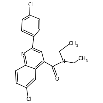 CCN(CC)C(=O)c1cc(-c2ccc(Cl)cc2)nc2ccc(Cl)cc12